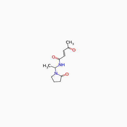 CC(=O)C=CC(=O)NC(C)N1CCCC1=O